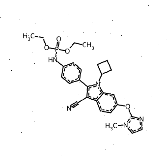 CCOP(=O)(Nc1ccc(-c2c(C#N)c3ccc(Oc4nccn4C)cc3n2C2CCC2)cc1)OCC